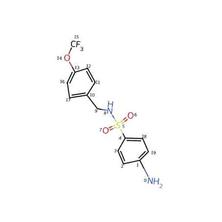 Nc1ccc(S(=O)(=O)NCc2ccc(OC(F)(F)F)cc2)cc1